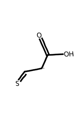 O=C(O)[CH]C=S